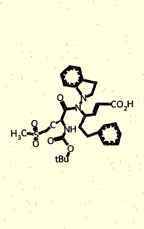 CC(C)(C)OC(=O)N[C@@H](CCS(C)(=O)=O)C(=O)N(C(C=CC(=O)O)CCc1ccccc1)N1CCc2ccccc21